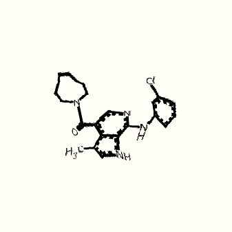 Cc1c[nH]c2c(Nc3cccc(Cl)c3)ncc(C(=O)N3CCCCCC3)c12